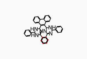 C1=C(c2ccccc2)NC(c2ccccc2)NC1c1c(C2NC(c3ccccc3)=NC(c3ccccc3)N2)c2ccccc2c2ccccc12